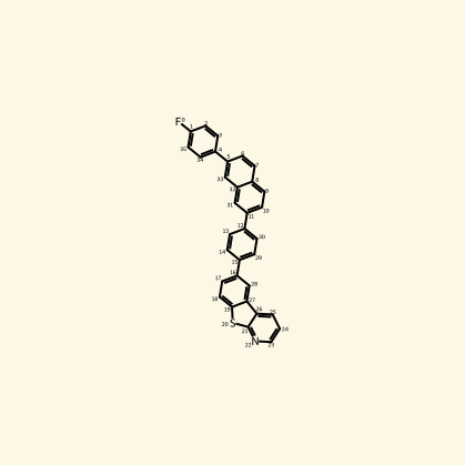 Fc1ccc(-c2ccc3ccc(-c4ccc(-c5ccc6sc7ncccc7c6c5)cc4)cc3c2)cc1